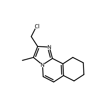 Cc1c(CCl)nc2c3c(ccn12)CCCC3